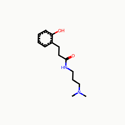 CN(C)CCCNC(=O)CCc1ccccc1O